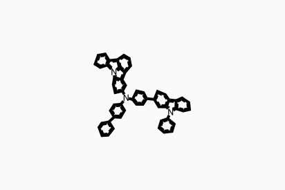 c1ccc(-c2ccc(N(c3ccc(-c4ccc5c6ccccc6n(-c6ccccc6)c5c4)cc3)c3ccc4c(c3)c3cccc5c6ccccc6n4c53)cc2)cc1